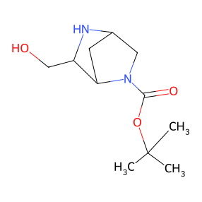 CC(C)(C)OC(=O)N1CC2CC1C(CO)N2